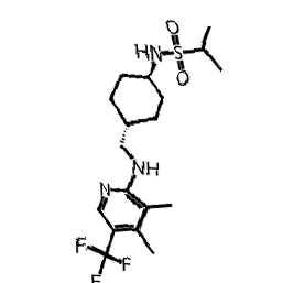 Cc1c(C(F)(F)F)cnc(NC[C@H]2CC[C@H](NS(=O)(=O)C(C)C)CC2)c1C